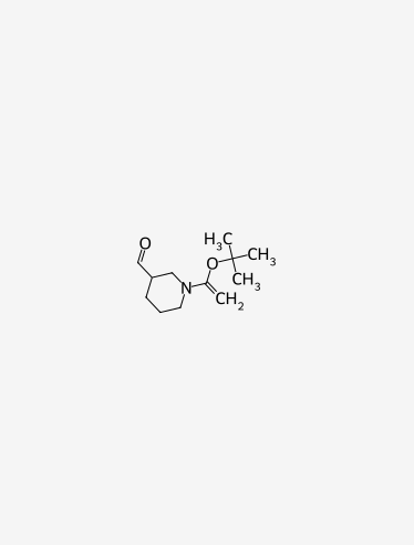 C=C(OC(C)(C)C)N1CCCC(C=O)C1